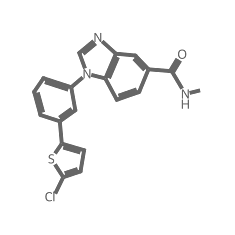 CNC(=O)c1ccc2c(c1)ncn2-c1cccc(-c2ccc(Cl)s2)c1